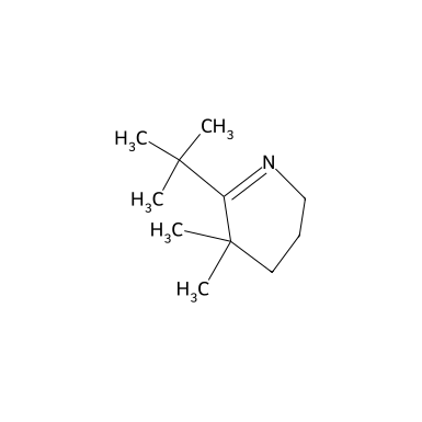 CC(C)(C)C1=NCCCC1(C)C